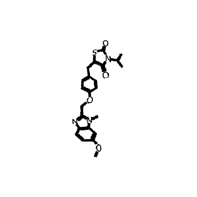 COc1ccc2nc(COc3ccc(CC4SC(=O)N(C(C)C)C4=O)cc3)n(C)c2c1